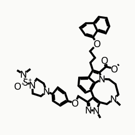 COC(=O)c1c(CCCOc2cccc3ccccc23)c2cccc3c2n1CCCN(C)Cc1c-3c(COc2ccc(N3CCN([S+]([O-])N(C)C)CC3)cc2)nn1C